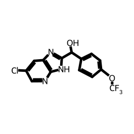 OC(c1ccc(OC(F)(F)F)cc1)c1nc2cc(Cl)cnc2[nH]1